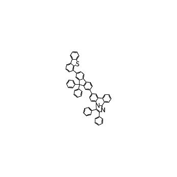 c1ccc(-c2nc3c4ccccc4c4cc(-c5ccc6c(c5)C(c5ccccc5)(c5ccccc5)c5cc(-c7cccc8c7sc7ccccc78)ccc5-6)ccc4n3c2-c2ccccc2)cc1